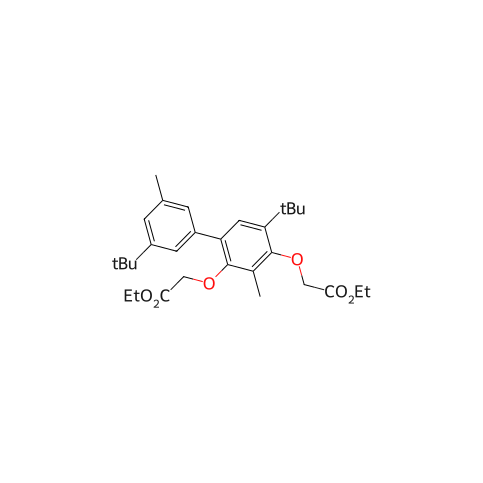 CCOC(=O)COc1c(-c2cc(C)cc(C(C)(C)C)c2)cc(C(C)(C)C)c(OCC(=O)OCC)c1C